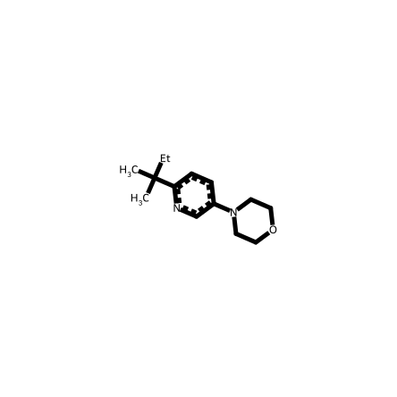 CCC(C)(C)c1ccc(N2CCOCC2)cn1